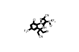 N#CCC1(CBr)Nc2c([S+]([O-])C(F)(F)F)c(C#N)nn2-c2c(Cl)cc(C(F)(F)F)cc21